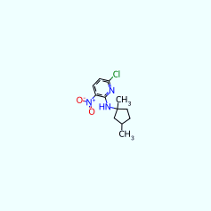 CC1CCC(C)(Nc2nc(Cl)ccc2[N+](=O)[O-])C1